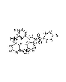 Cc1ccc(S(=O)(=O)n2cc(-c3ncc(F)c(NC4CCCC(N)C4)n3)c3cc(Cl)cnc32)cc1